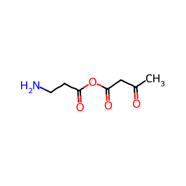 CC(=O)CC(=O)OC(=O)CCN